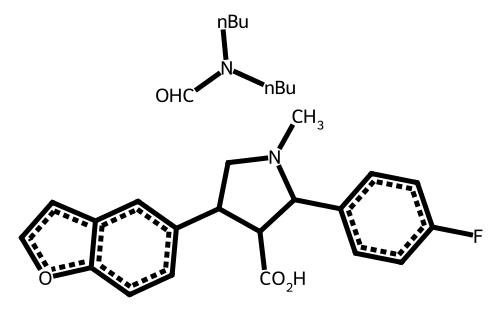 CCCCN(C=O)CCCC.CN1CC(c2ccc3occc3c2)C(C(=O)O)C1c1ccc(F)cc1